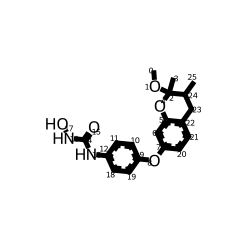 COC1(C)Oc2cc(Oc3ccc(NC(=O)NO)cc3)ccc2CC1C